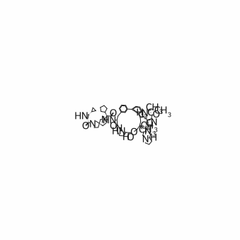 CCn1c(-c2cc(N3CCN4CCC[C@@H]4C3)cnc2[C@H](C)OC)c2c3cc(ccc31)-c1cccc(c1)C[C@H](NC(=O)[C@H](C1CCCC1)N1CC[C@]3(CCN(C(=O)[C@@H]4N[C@@H]4C4CC4)C3)C1)C(=O)N1CCC[C@H](N1)C(=O)OCC(C)(C)C2